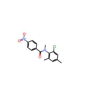 Cc1cc(C)c(N(C)C(=O)c2ccc([N+](=O)[O-])cc2)c(Cl)c1